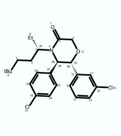 CC[C@@H](CCC(C)(C)C)N1C(=O)CO[C@H](c2cccc(Cl)c2)[C@H]1c1ccc(Cl)cc1